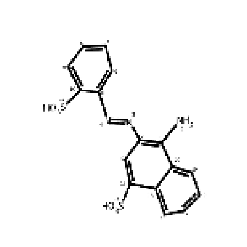 Nc1c(N=Nc2ccccc2S(=O)(=O)O)cc(S(=O)(=O)O)c2ccccc12